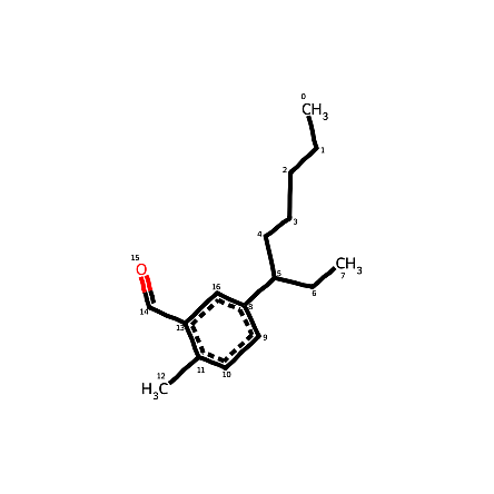 CCCCCC(CC)c1ccc(C)c(C=O)c1